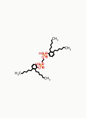 CCCCCCc1cccc(OP(=O)(O)OCCOP(=O)(O)Oc2cccc(CCCCCC)c2CCCCCC)c1CCCCCC